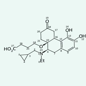 CCN(CC1CC1)[C@@H]1Cc2ccc(O)c(O)c2C2CC(=O)CC[C@]21OCCCC(=O)O